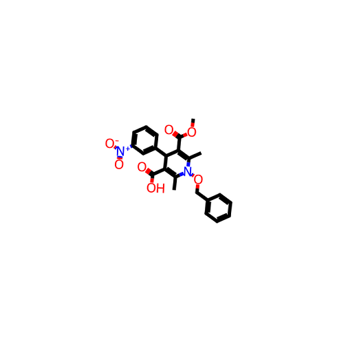 COC(=O)C1=C(C)N(OCc2ccccc2)C(C)=C(C(=O)O)C1c1cccc([N+](=O)[O-])c1